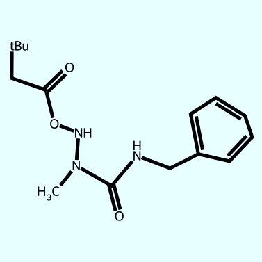 CN(NOC(=O)CC(C)(C)C)C(=O)NCc1ccccc1